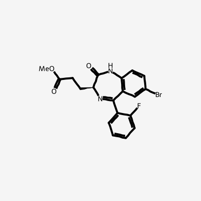 COC(=O)CC[C@@H]1N=C(c2ccccc2F)c2cc(Br)ccc2NC1=O